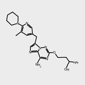 CCCC(O)CCOc1nc(N)c2ncc(Cc3cnc(N4CCCCC4)c(C)c3)n2n1